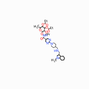 CCCO[C@@H]1[C@H](ONC(=O)c2cnc(N3CCC(CNCc4cn(C)c5ccccc45)CC3)nc2)O[C@@H](C)[C@@H](OC(=O)CC)[C@H]1OC(=O)CC